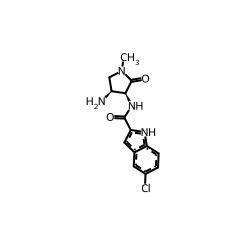 CN1C[C@H](N)[C@H](NC(=O)c2cc3cc(Cl)ccc3[nH]2)C1=O